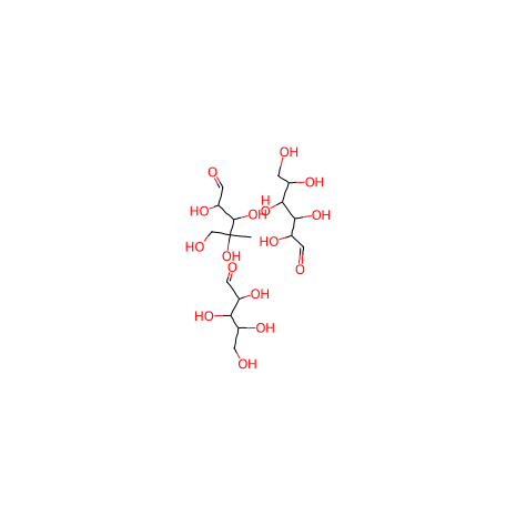 CC(O)(CO)C(O)C(O)C=O.O=CC(O)C(O)C(O)C(O)CO.O=CC(O)C(O)C(O)CO